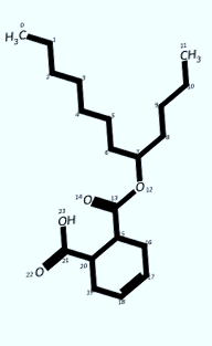 CCCCCCCC(CCCC)OC(=O)C1CC=CCC1C(=O)O